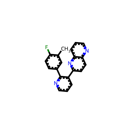 Cc1cc(-c2ncccc2-c2ccc3ncccc3n2)ccc1F